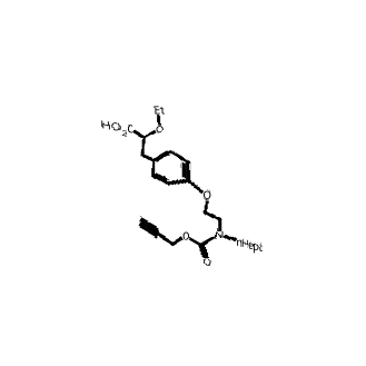 C#CCOC(=O)N(CCCCCCC)CCOc1ccc(CC(OCC)C(=O)O)cc1